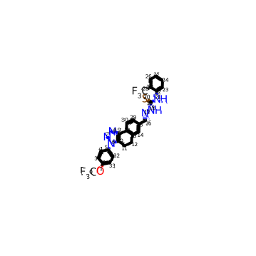 FC(F)(F)Oc1ccc(-n2nnc3c2CCc2cc(/C=N/NC(=S)Nc4ccccc4C(F)(F)F)ccc2-3)cc1